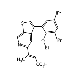 CCOc1c(-c2csc3cnc(C(C)=CC(=O)O)cc23)cc(C(C)C)cc1C(C)C